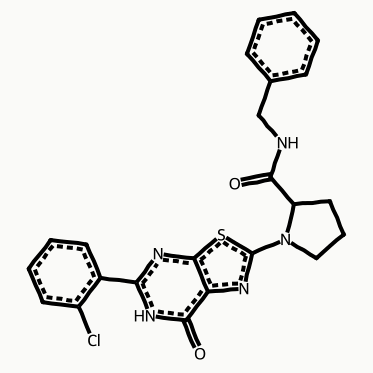 O=C(NCc1ccccc1)C1CCCN1c1nc2c(=O)[nH]c(-c3ccccc3Cl)nc2s1